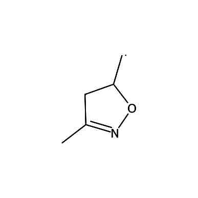 [CH2]C1CC(C)=NO1